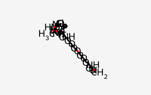 C=NOCC(=O)NCCOCCOCCOCCOCCOCCOCCOCCNC(=O)CN1CCN(c2cc(Nc3ncc(C(=O)Nc4c(C)cccc4Cl)s3)nc(C)n2)CC1